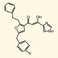 O=C(C=C(O)c1nc[nH]n1)c1cc(Cc2ccc(F)cc2)oc1CCc1ccccc1